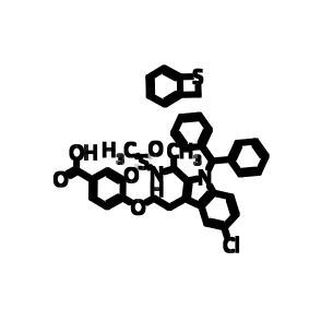 CC(NS(C)(=O)=O)c1c(CCOc2ccc(C(=O)O)cc2)c2cc(Cl)ccc2n1C(c1ccccc1)c1ccccc1.c1ccc2c(c1)CS2